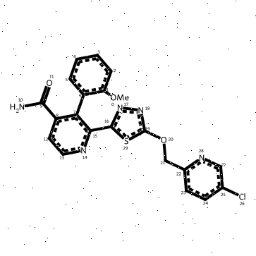 COc1ccccc1-c1c(C(N)=O)ccnc1-c1nnc(OCc2ccc(Cl)cn2)s1